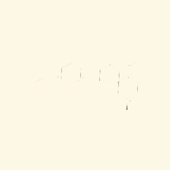 CC(C)[C@@H]1CC[C@@H](C)CC12CCC[C@@H](C[C@H]1CC=C[C@@H](CC=O)O1)O2